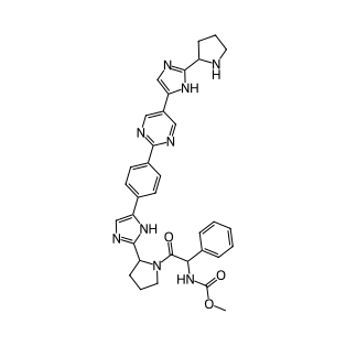 COC(=O)NC(C(=O)N1CCCC1c1ncc(-c2ccc(-c3ncc(-c4cnc(C5CCCN5)[nH]4)cn3)cc2)[nH]1)c1ccccc1